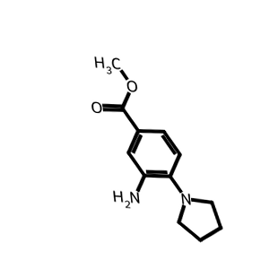 COC(=O)c1ccc(N2CCCC2)c(N)c1